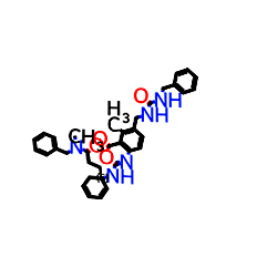 Cc1c(CNC(=O)NCc2ccccc2)ccc2nc(N[C@]3(CCC(=O)N(C)Cc4ccccc4)C=CC=CC3)oc(=O)c12